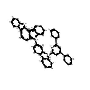 c1ccc(-c2cc(-c3ccccc3)nc(-n3c4ccccc4c4ccc(-n5c6ccccc6c6c7sc8ccccc8c7ccc65)cc43)c2)cc1